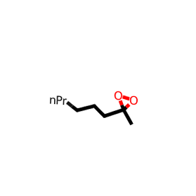 CCCCCCC1(C)OO1